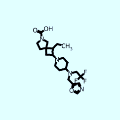 CCC1C(N2CCC(N(Cc3cnco3)CC(F)(F)F)CC2)CC12CCN(C(=O)O)C2